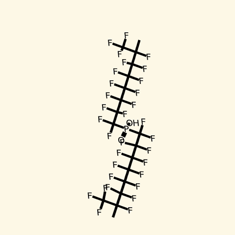 CC(F)(C(F)(F)F)C(F)(F)C(F)(F)C(F)(F)C(F)(F)C(F)(F)C(F)(F)P(=O)(O)C(F)(F)C(F)(F)C(F)(F)C(F)(F)C(F)(F)C(F)(F)C(C)(F)C(F)(F)F